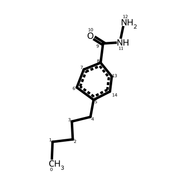 CCCCCc1ccc(C(=O)NN)cc1